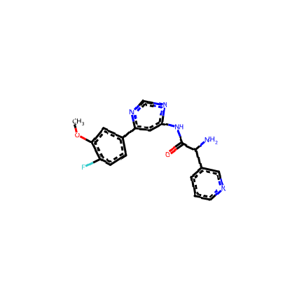 COc1cc(-c2cc(NC(=O)C(N)c3cccnc3)ncn2)ccc1F